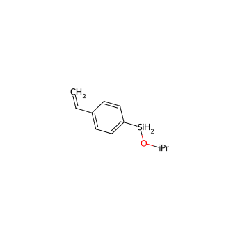 C=Cc1ccc([SiH2]OC(C)C)cc1